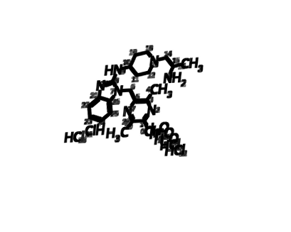 Cc1nc(C)c(Cn2c(NC3CCN(CC(C)N)CC3)nc3ccccc32)nc1C.Cl.Cl.Cl.Cl.O.O.O